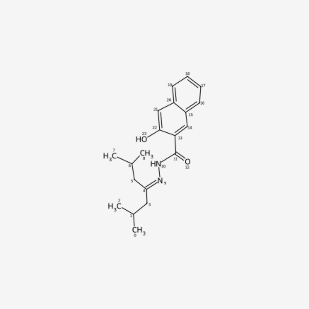 CC(C)CC(CC(C)C)=NNC(=O)c1cc2ccccc2cc1O